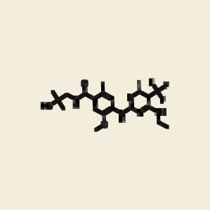 CCNC1=NC(Nc2cc(C)c(C(=O)NCC(C)(C)O)cc2OC)=NC(C)C1C(F)(F)F